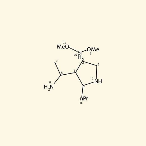 CCCC1NCCC1C(C)N.CO[SiH2]OC